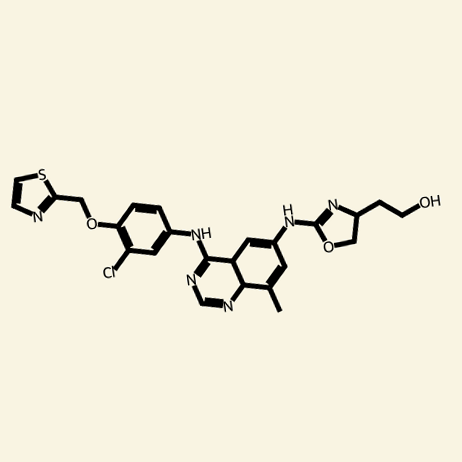 CC1=CC(NC2=NC(CCO)CO2)=CC2C(Nc3ccc(OCc4nccs4)c(Cl)c3)=NC=NC12